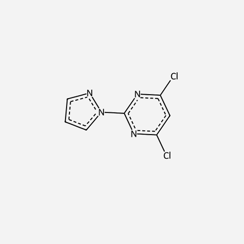 Clc1cc(Cl)nc(-n2cccn2)n1